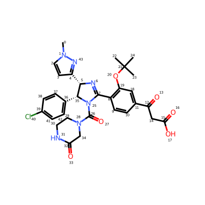 Cn1ccc([C@@H]2N=C(c3ccc(C(=O)CC(=O)O)cc3OC(C)(C)C)N(C(=O)N3CCNC(=O)C3)[C@@H]2c2ccc(Cl)cc2)n1